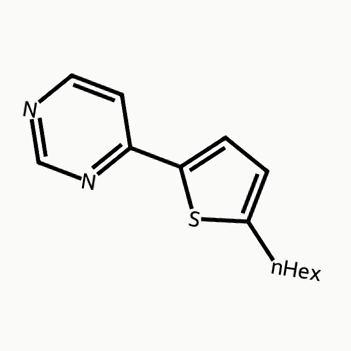 CCCCCCc1ccc(-c2ccncn2)s1